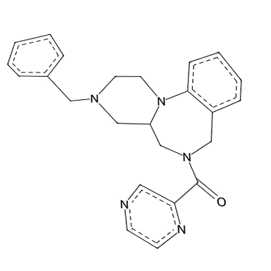 O=C(c1cnccn1)N1Cc2ccccc2N2CCN(Cc3ccccc3)CC2C1